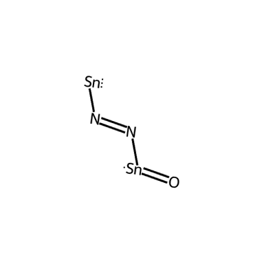 [O]=[Sn][N]=[N][Sn]